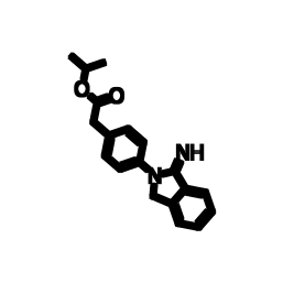 CC(C)OC(=O)Cc1ccc(N2Cc3ccccc3C2=N)cc1